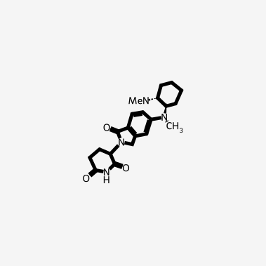 CN[C@@H]1CCCC[C@H]1N(C)c1ccc2c(c1)CN(C1CCC(=O)NC1=O)C2=O